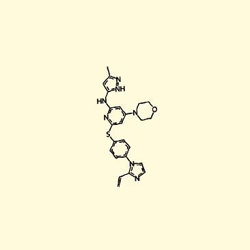 C=Cc1nccn1-c1ccc(Sc2cc(N3CCOCC3)cc(Nc3cc(C)n[nH]3)n2)cc1